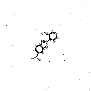 CN(C)c1ccc2nc(-c3ccncc3C#N)sc2c1